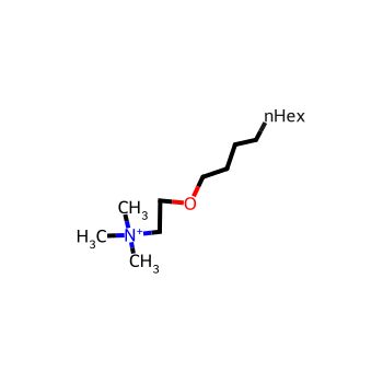 CCCCCCCCCCOCC[N+](C)(C)C